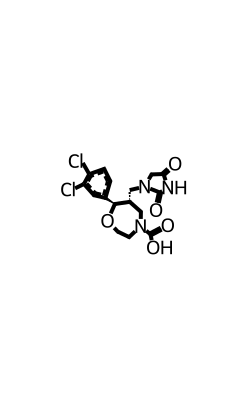 O=C1CN(C[C@@H]2CN(C(=O)O)CCO[C@H]2c2ccc(Cl)c(Cl)c2)C(=O)N1